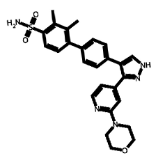 Cc1c(-c2ccc(-c3c[nH]nc3-c3ccnc(N4CCOCC4)c3)cc2)ccc(S(N)(=O)=O)c1C